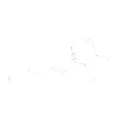 CCCC=Cc1cccc(Cl)c1Cl